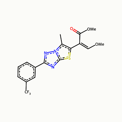 COC=C(C(=O)OC)c1sc2nc(-c3cccc(C(F)(F)F)c3)nn2c1C